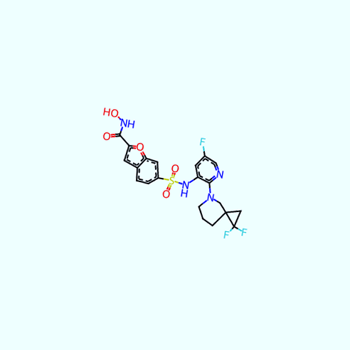 O=C(NO)c1cc2ccc(S(=O)(=O)Nc3cc(F)cnc3N3CCCC4(C3)CC4(F)F)cc2o1